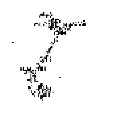 CCCCOc1nc(N)c2[nH]c(=O)n(Cc3ccc(CN4CCC(CCNC(=O)[C@H](CCCCNC(=O)CCCC(=O)NCCOCCOCCOCCOCCC(=O)NC(COCCC(=O)NCCCOC)(COCCC(=O)NCCOC)COCCC(=O)NCCOC)NC(=O)CON)CC4)cc3)c2n1